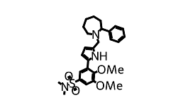 COc1cc(S(=O)(=O)N(C)C)cc(-c2ccc(CN3CCCCCC3c3ccccc3)[nH]2)c1OC